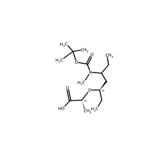 CCC(C[C@@H](CC)O[C@H](C)C(=O)O)N(C)C(=O)OC(C)(C)C